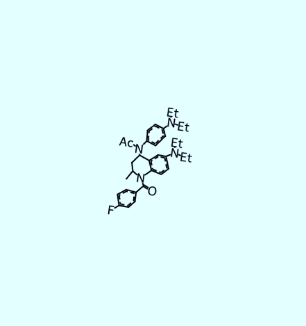 CCN(CC)c1ccc(N(C(C)=O)C2CC(C)N(C(=O)c3ccc(F)cc3)c3ccc(N(CC)CC)cc32)cc1